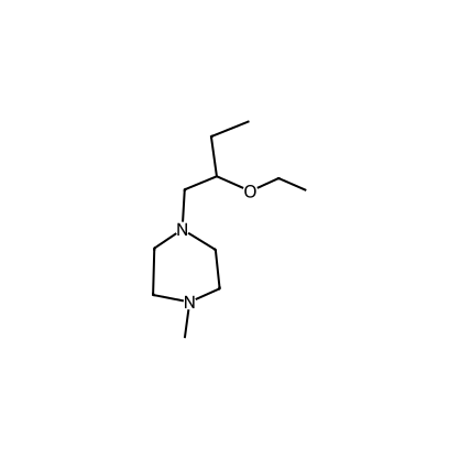 CCOC(CC)CN1CCN(C)CC1